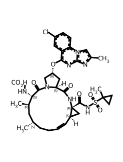 Cc1cn2c(n1)nc(O[C@@H]1C[C@H]3C(=O)N[C@]4(C(=O)NS(=O)(=O)C5(C)CC5)C[C@H]4C=CCC[C@H](C)C[C@@H](C)[C@H](NC(=O)O)C(=O)N3C1)c1cc(Cl)ccc12